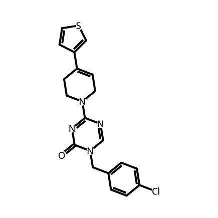 O=c1nc(N2CC=C(c3ccsc3)CC2)ncn1Cc1ccc(Cl)cc1